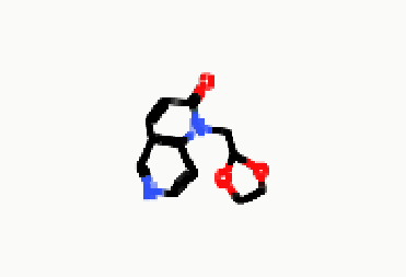 O=c1ccc2cnccc2n1CC1OCCO1